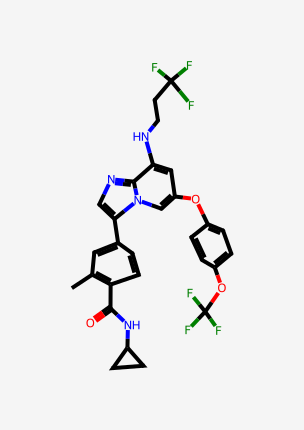 Cc1cc(-c2cnc3c(NCCC(F)(F)F)cc(Oc4ccc(OC(F)(F)F)cc4)cn23)ccc1C(=O)NC1CC1